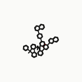 CC1(c2ccccc2)c2ccccc2-c2c(N(c3cccc(-c4ccc(-c5cccc6ccccc56)cc4)c3)c3ccccc3-c3ccc(-c4ccc5ccccc5c4)cc3)cccc21